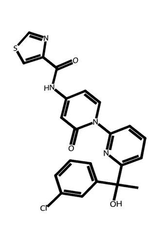 CC(O)(c1cccc(Cl)c1)c1cccc(-n2ccc(NC(=O)c3cscn3)cc2=O)n1